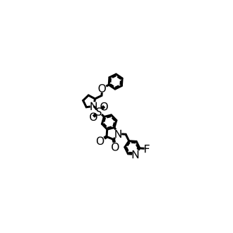 O=C1C(=O)N(Cc2ccnc(F)c2)c2ccc(S(=O)(=O)N3CCCC3COc3ccccc3)cc21